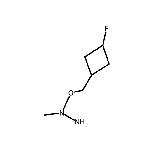 CN(N)OCC1CC(F)C1